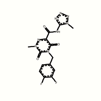 Cn1nnnc1NC(=O)c1nn(C)c(=O)n(Cc2ccc(F)c(F)c2)c1=O